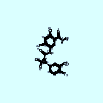 CCNC(=O)c1cc(NC(=O)[C@H]2[C@H](c3ccc(F)c(C(F)(F)F)c3)C2(Cl)Cl)c(F)cc1Cl